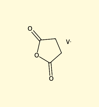 O=C1CCC(=O)O1.[V]